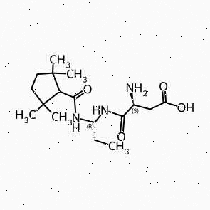 CC[C@H](NC(=O)C1C(C)(C)CCC1(C)C)NC(=O)[C@@H](N)CC(=O)O